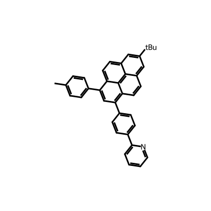 Cc1ccc(-c2cc(-c3ccc(-c4ccccn4)cc3)c3ccc4cc(C(C)(C)C)cc5ccc2c3c54)cc1